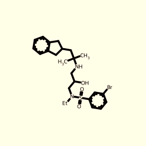 CCN(CC(O)CNC(C)(C)CC1Cc2ccccc2C1)S(=O)(=O)c1cccc(Br)c1